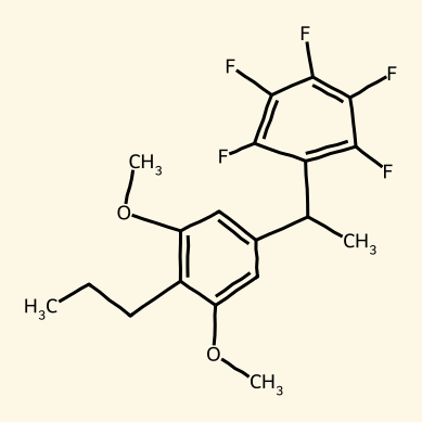 CCCc1c(OC)cc(C(C)c2c(F)c(F)c(F)c(F)c2F)cc1OC